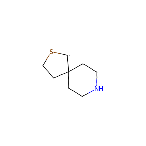 [CH]1SCCC12CCNCC2